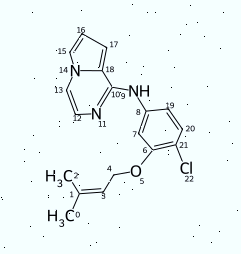 CC(C)=CCOc1cc(Nc2nccn3cccc23)ccc1Cl